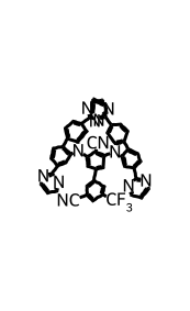 N#Cc1cc(-c2cc(-n3c4cc(-c5ncccn5)ccc4c4ccc(-c5ncccn5)cc43)c(C#N)c(-n3c4cc(-c5ncccn5)ccc4c4ccc(-c5ncccn5)cc43)c2)cc(C(F)(F)F)c1